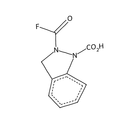 O=C(F)N1Cc2ccccc2N1C(=O)O